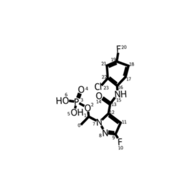 CC(OP(=O)(O)O)n1nc(F)cc1C(=O)Nc1ccc(F)cc1Cl